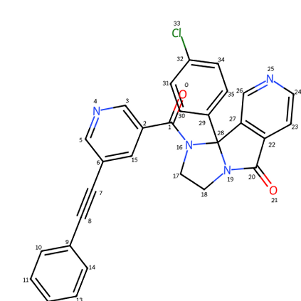 O=C(c1cncc(C#Cc2ccccc2)c1)N1CCN2C(=O)c3ccncc3C12c1ccc(Cl)cc1